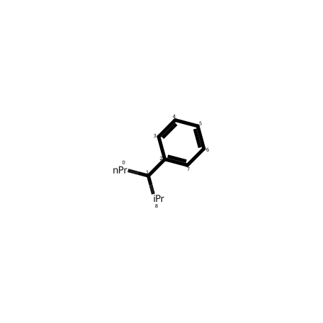 CCCC(c1[c]cccc1)C(C)C